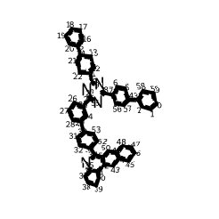 c1ccc(-c2ccc(-c3nc(-c4ccc(-c5ccccc5)cc4)nc(-c4cccc(-c5ccc(-c6nc7ccccc7c7cc8ccccc8cc67)cc5)c4)n3)cc2)cc1